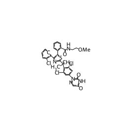 COCCNC(=O)c1ccccc1-c1sc(C(C)(C)c2c(Cl)cc(-n3ncc(=O)[nH]c3=O)cc2Cl)nc1-c1ccccc1Cl